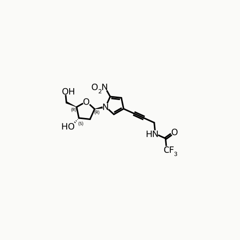 O=C(NCC#Cc1cc([N+](=O)[O-])n([C@H]2C[C@H](O)[C@@H](CO)O2)c1)C(F)(F)F